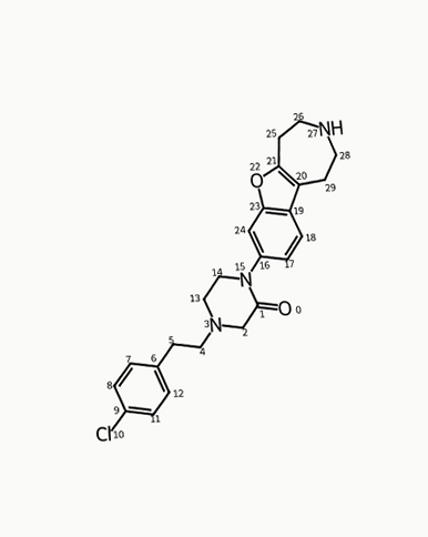 O=C1CN(CCc2ccc(Cl)cc2)CCN1c1ccc2c3c(oc2c1)CCNCC3